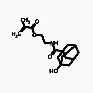 C=C(C)C(=O)OCCNC(=O)C12CC3CC(CC(O)(C3)C1)C2